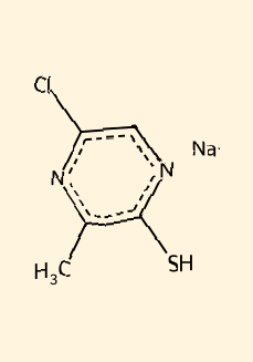 Cc1nc(Cl)cnc1S.[Na]